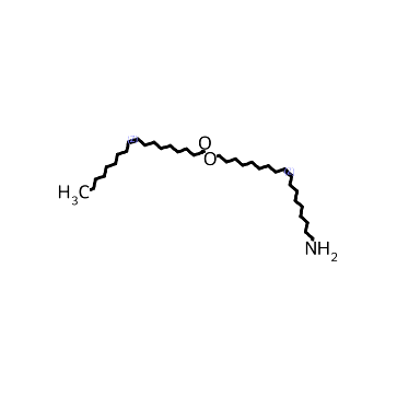 CCCCCCCC/C=C\CCCCCCCC(=O)OCCCCCCCC/C=C\CCCCCCCCN